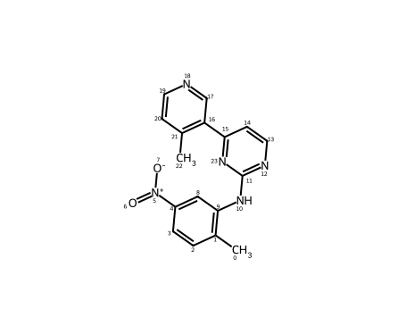 Cc1ccc([N+](=O)[O-])cc1Nc1nccc(-c2cnccc2C)n1